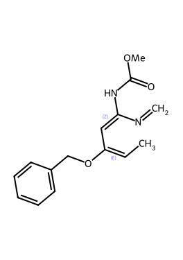 C=N/C(=C\C(=C/C)OCc1ccccc1)NC(=O)OC